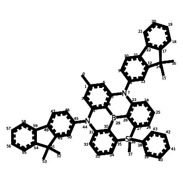 Cc1cc2c3c(c1)N(c1ccc4c(c1)C(C)(C)c1ccccc1-4)c1cccc4c1B3c1c(cccc1[Si]4(C)c1ccccc1)N2c1ccc2c(c1)C(C)(C)c1ccccc1-2